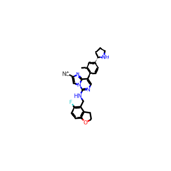 Cc1cc([C@@H]2CCCN2)ccc1-c1cnc(NCc2c(F)ccc3c2CCO3)n2cc(C#N)nc12